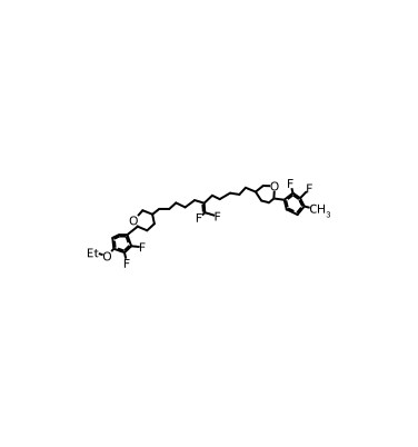 CCOc1ccc(C2CCC(CCCCCC(CCCCCC3CCC(c4ccc(C)c(F)c4F)OC3)=C(F)F)CO2)c(F)c1F